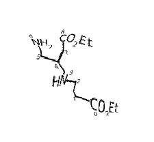 CCOC(=O)CCNC(CN)CC(=O)OCC